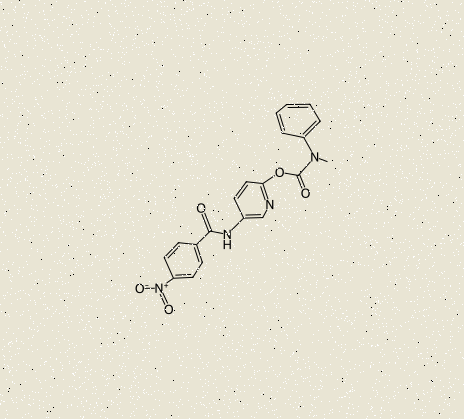 CN(C(=O)Oc1ccc(NC(=O)c2ccc([N+](=O)[O-])cc2)cn1)c1ccccc1